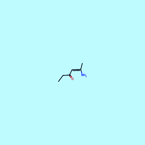 CCC(=O)C=C(C)N